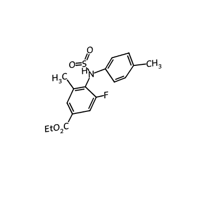 CCOC(=O)c1cc(C)c(N(c2ccc(C)cc2)[SH](=O)=O)c(F)c1